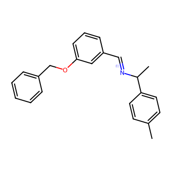 Cc1ccc(C(C)/N=C/c2cccc(OCc3ccccc3)c2)cc1